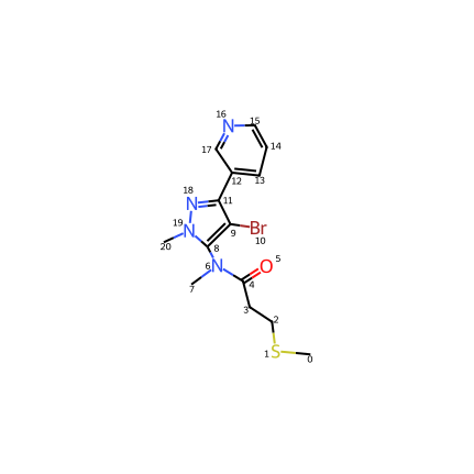 CSCCC(=O)N(C)c1c(Br)c(-c2cccnc2)nn1C